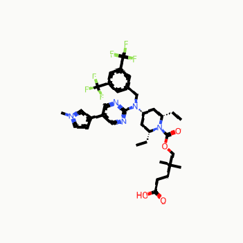 CC[C@@H]1C[C@H](N(Cc2cc(C(F)(F)F)cc(C(F)(F)F)c2)c2ncc(-c3ccn(C)c3)cn2)C[C@H](CC)N1C(=O)OCC(C)(C)CCC(=O)O